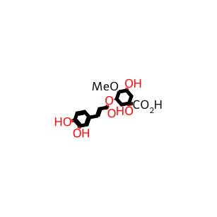 COC1C(O)CC(O)(C(=O)O)C[C@@H]1OC(=O)/C=C/c1ccc(O)c(O)c1